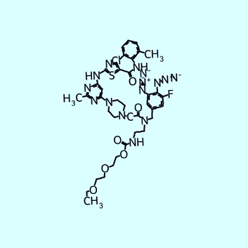 CCOCCOCCOC(=O)NCCN(Cc1cc(F)c(N=[N+]=[N-])c(N=[N+]=[N-])c1)C(=O)CN1CCN(c2cc(Nc3ncc(C(=O)Nc4c(C)cccc4Cl)s3)nc(C)n2)CC1